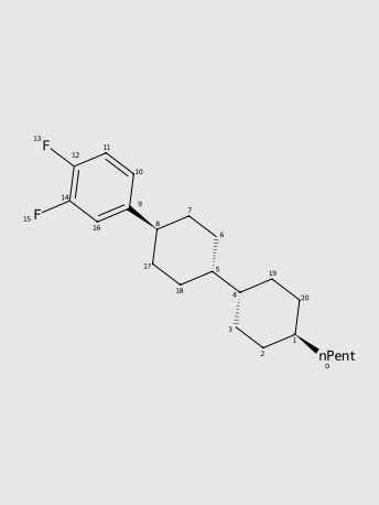 CCCCC[C@H]1CC[C@H]([C@H]2CC[C@H](c3ccc(F)c(F)c3)CC2)CC1